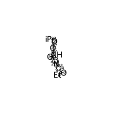 CCC(=O)[C@H]1CC[C@@H](N2CCC(C(=O)NCCOCCOC(C)C)CC2)CC1